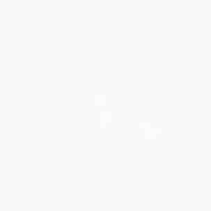 O=C(OCCCCl)c1cccc(O)c1